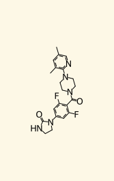 Cc1cnc(N2CCN(C(=O)c3c(F)cc(N4CCNC4=O)cc3F)CC2)c(C)c1